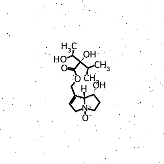 CC(C)[C@@](O)(C(=O)OCC1=CC[N+]2([O-])CC[C@@H](O)[C@@H]12)[C@H](C)O